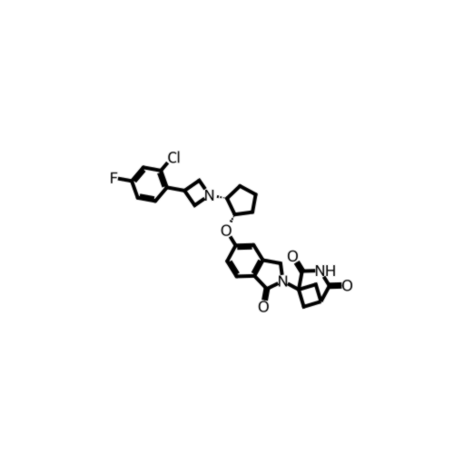 O=C1NC(=O)C2(N3Cc4cc(O[C@H]5CCC[C@H]5N5CC(c6ccc(F)cc6Cl)C5)ccc4C3=O)CC1C2